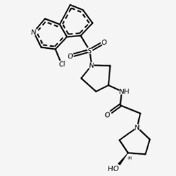 O=C(CN1CC[C@@H](O)C1)NC1CCN(S(=O)(=O)c2cccc3cncc(Cl)c23)C1